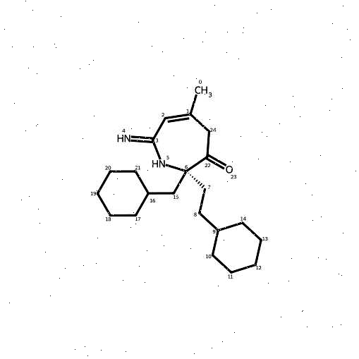 CC1=CC(=N)N[C@](CCC2CCCCC2)(CC2CCCCC2)C(=O)C1